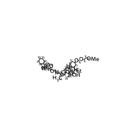 CC[C@@H]1C2C[C@H](OCOCCOC)CC[C@]2(C)[C@H]2CCC3(C)[C@@H]([C@H](C)CCCOC(=O)NS(=O)(=O)C4CCCCC4)CC[C@H]3[C@@H]2[C@@H]1O